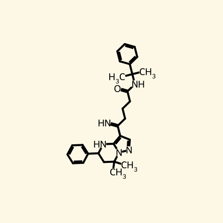 CC(C)(NC(=O)CCCC(=N)c1cnn2c1NC(c1ccccc1)CC2(C)C)c1ccccc1